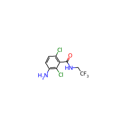 Nc1ccc(Cl)c(C(=O)NCC(F)(F)F)c1Cl